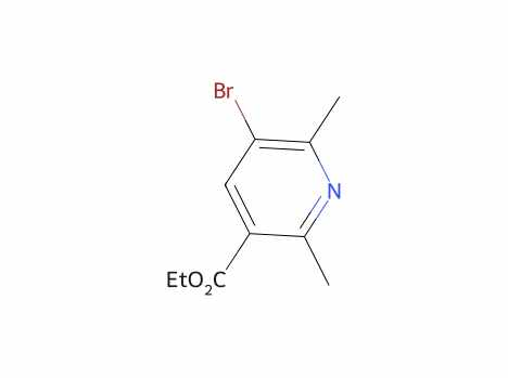 CCOC(=O)c1cc(Br)c(C)nc1C